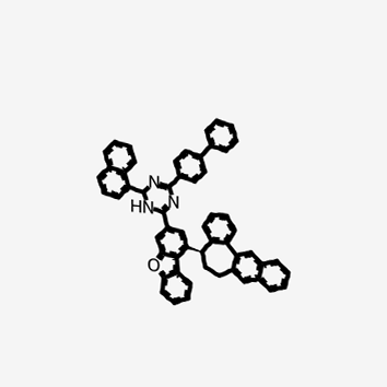 c1ccc(-c2ccc(C3=NC(c4cccc5ccccc45)NC(c4cc([C@@H]5CCc6cc7ccccc7cc6-c6ccccc65)c5c(c4)oc4ccccc45)=N3)cc2)cc1